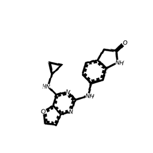 O=C1Cc2ccc(Nc3nc(NC4CC4)c4occc4n3)cc2N1